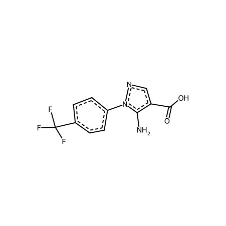 Nc1c(C(=O)O)cnn1-c1ccc(C(F)(F)F)cc1